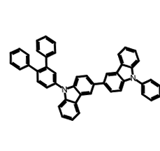 c1ccc(-c2ccc(-n3c4ccccc4c4cc(-c5ccc6c(c5)c5ccccc5n6-c5ccccc5)ccc43)cc2-c2ccccc2)cc1